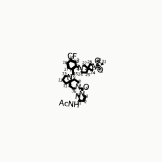 CC(=O)Nc1ccn(C(=O)N2CCC3(CCCN3Cc3ccc(C(F)(F)F)cc3N3CCC4(C3)CN(S(C)(=O)=O)C4)CC2)n1